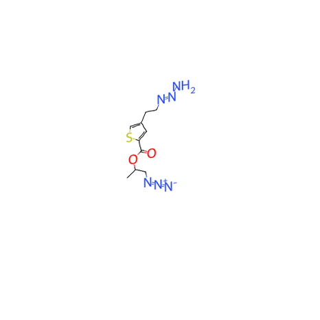 CC(CN=[N+]=[N-])OC(=O)c1cc(CCN=NN)cs1